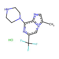 Cc1cnc2c(N3CCNCC3)nc(C(F)(F)F)cn12.Cl